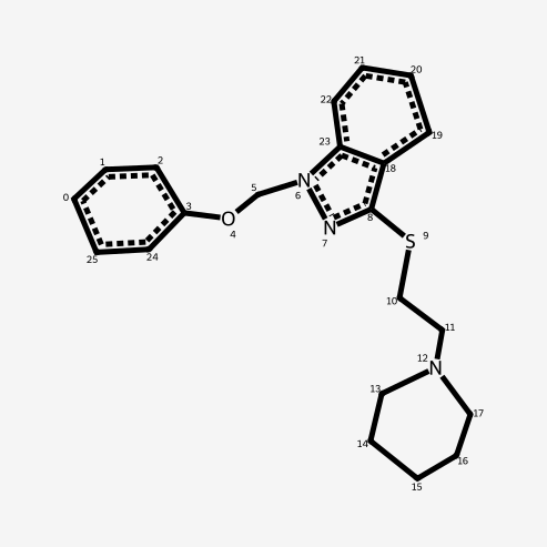 c1ccc(OCn2nc(SCCN3CCCCC3)c3ccccc32)cc1